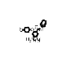 COC1CCC(Oc2cc(N)c(Cl)cc2C(=O)NC2CC3CCC(C2)N3C)CC1.Cl